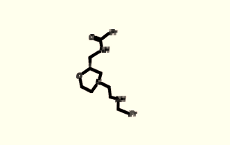 CC(C)CNCCN1CCO[C@@H](CNC(=O)C(C)C)C1